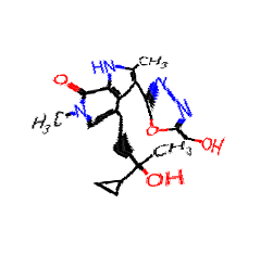 Cc1[nH]c2c(=O)n(C)cc(C#CC(C)(O)C3CC3)c2c1-c1nnc(CO)o1